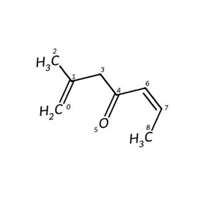 C=C(C)CC(=O)/C=C\C